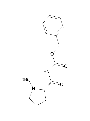 CC(C)(C)N1CCC[C@H]1C(=O)NC(=O)OCc1ccccc1